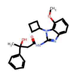 COc1cccc2nc(NC(=O)CC(C)(O)c3ccccc3)n(C3CCC3)c12